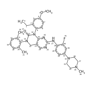 CCc1cc(OC)ccc1N1C(=O)N(c2c(C)cccc2C)Cc2cnc(Nc3ccc(N4CCN(C)CC4)cc3F)nc21